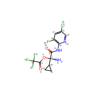 N[C@@](OC(=O)C(F)(F)F)(C(=O)Nc1ncc(Cl)cc1F)C1CC1